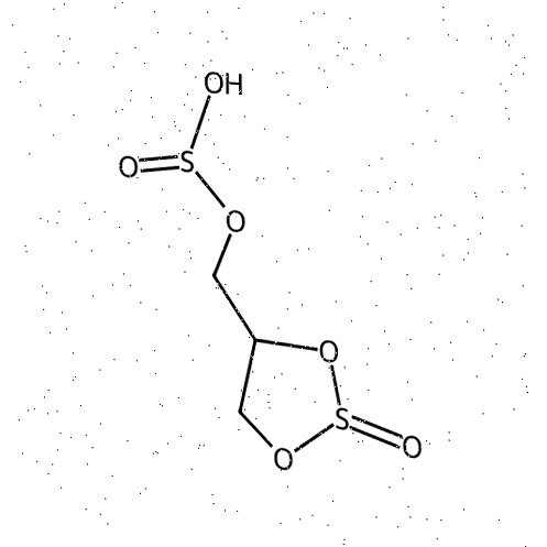 O=S(O)OCC1COS(=O)O1